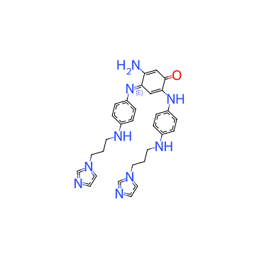 NC1=CC(=O)C(Nc2ccc(NCCCn3ccnc3)cc2)=C/C1=N\c1ccc(NCCCn2ccnc2)cc1